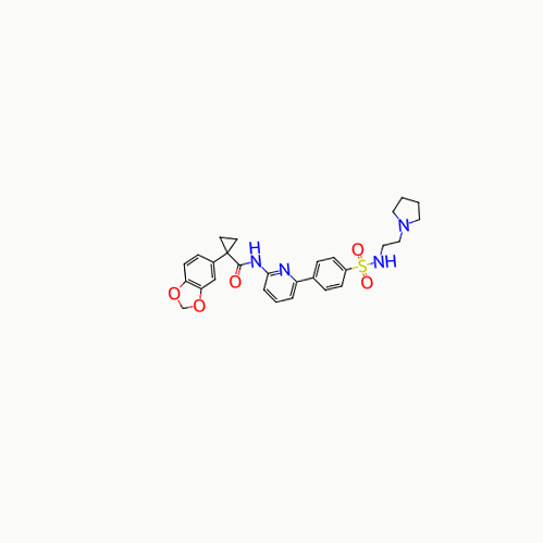 O=C(Nc1cccc(-c2ccc(S(=O)(=O)NCCN3CCCC3)cc2)n1)C1(c2ccc3c(c2)OCO3)CC1